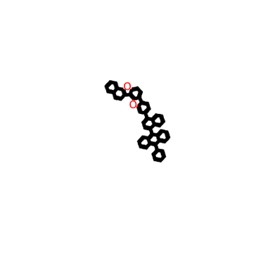 c1ccc(-c2c3ccccc3c(-c3ccc(-c4ccc5c(c4)oc4c5ccc5oc6c7ccccc7ccc6c54)c4ccccc34)c3ccccc23)cc1